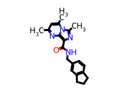 Cc1cc(C)n2c(C)nc(C(=O)NCc3ccc4c(c3)CCC4)c2n1